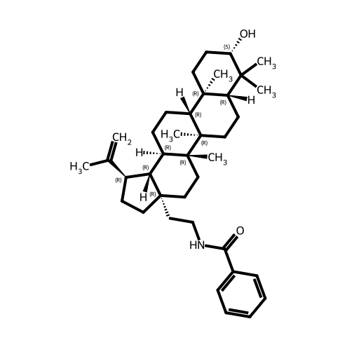 C=C(C)[C@@H]1CC[C@]2(CCNC(=O)c3ccccc3)CC[C@]3(C)[C@H](CC[C@@H]4[C@@]5(C)CC[C@H](O)C(C)(C)[C@@H]5CC[C@]43C)[C@@H]12